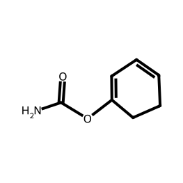 NC(=O)OC1=CC=CCC1